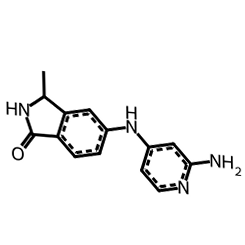 CC1NC(=O)c2ccc(Nc3ccnc(N)c3)cc21